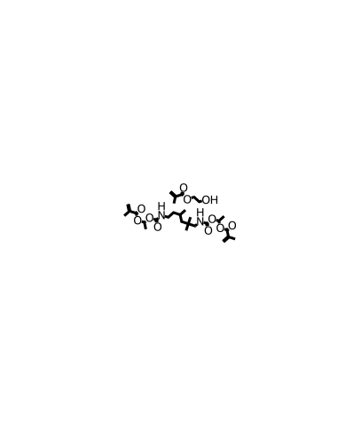 C=C(C)C(=O)OC(C)OC(=O)NCCC(C)CC(C)(C)CNC(=O)OC(C)OC(=O)C(=C)C.C=C(C)C(=O)OCCO